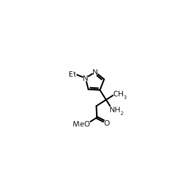 CCn1cc(C(C)(N)CC(=O)OC)cn1